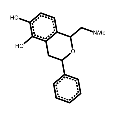 CNCC1OC(c2ccccc2)Cc2c1ccc(O)c2O